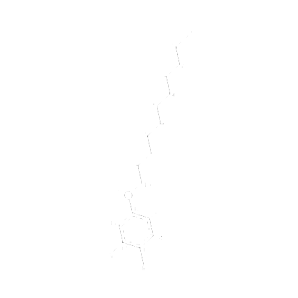 CCCCCCCCCCCOc1ccc(C)c(C)c1